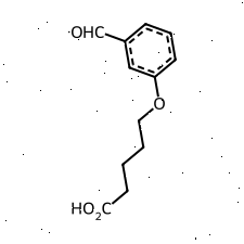 O=[C]c1cccc(OCCCCC(=O)O)c1